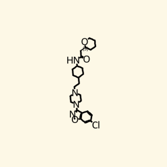 O=C(C[C@@H]1CCCCO1)NC1CCC(CCN2CCN(c3noc4cc(Cl)ccc34)CC2)CC1